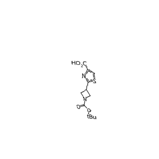 CC(C)(C)OC(=O)N1CC(c2nc(C(=O)O)cs2)C1